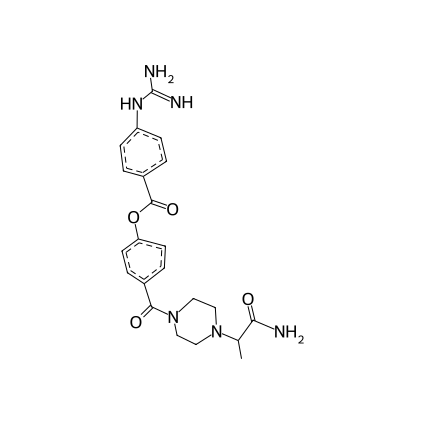 CC(C(N)=O)N1CCN(C(=O)c2ccc(OC(=O)c3ccc(NC(=N)N)cc3)cc2)CC1